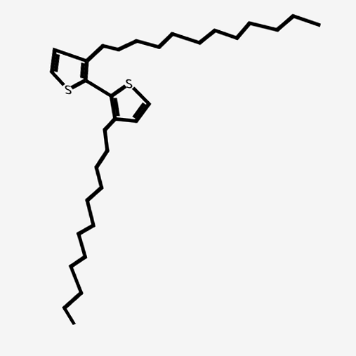 CCCCCCCCCCCCc1ccsc1-c1sccc1CCCCCCCCCCCC